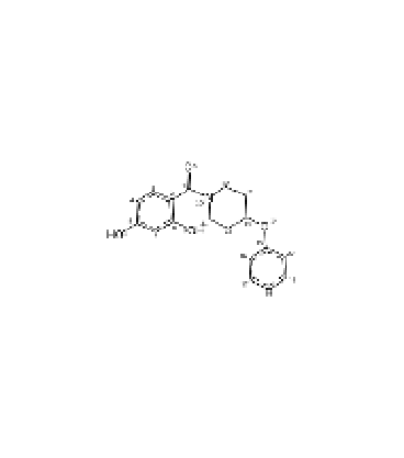 O=C(c1ccc(O)cc1O)N1CCC(Oc2ccccc2)CC1